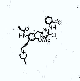 C=CC(=O)Nc1cc(Cc2ncc(Cl)c(Nc3ccccc3P(C)(C)=O)n2)c(OC)cc1C#CCN1CCC(C)CC1